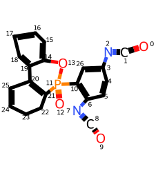 O=C=Nc1ccc(N=C=O)c(P2(=O)Oc3ccccc3C3=C2CCC=C3)c1